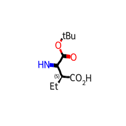 CC[C@@H](C(=N)C(=O)OC(C)(C)C)C(=O)O